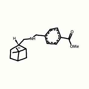 COC(=O)c1ccc(CNC[C@H]2CCC3CC2C3(C)C)cc1